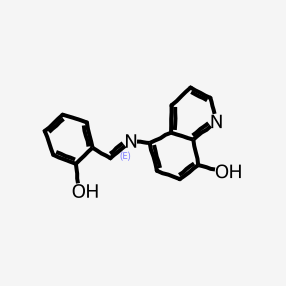 Oc1ccccc1/C=N/c1ccc(O)c2ncccc12